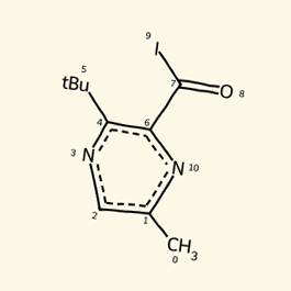 Cc1cnc(C(C)(C)C)c(C(=O)I)n1